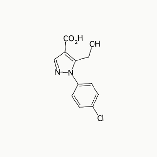 O=C(O)c1cnn(-c2ccc(Cl)cc2)c1CO